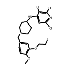 COc1ccc(CN2CCC(Nc3nc(Cl)nc(Cl)c3Cl)CC2)cc1OCCF